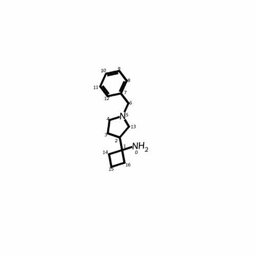 NC1(C2CCN(Cc3ccccc3)C2)CCC1